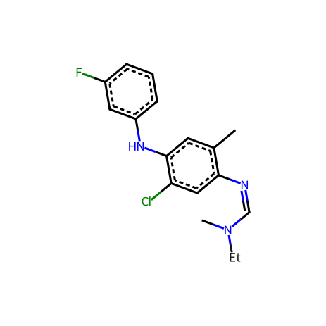 CCN(C)/C=N\c1cc(Cl)c(Nc2cccc(F)c2)cc1C